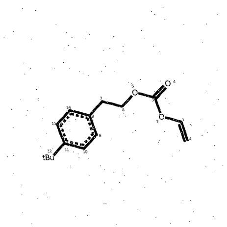 C=COC(=O)OCCc1ccc(C(C)(C)C)cc1